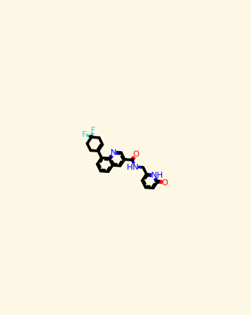 O=C(NCc1cccc(=O)[nH]1)c1cnc2c(C3=CCC(F)(F)CC3)cccc2c1